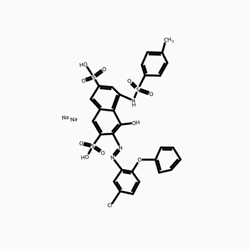 Cc1ccc(S(=O)(=O)Nc2cc(S(=O)(=O)O)cc3cc(S(=O)(=O)O)c(N=Nc4cc(Cl)ccc4Oc4ccccc4)c(O)c23)cc1.[Na].[Na]